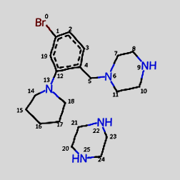 Brc1ccc(CN2CCNCC2)c(N2CCCCC2)c1.C1CNCCN1